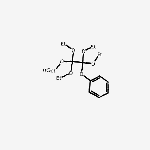 CCCCCCCCOC(OCC)(OCC)C(OCC)(OCC)Oc1ccccc1